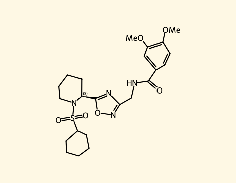 COc1ccc(C(=O)NCc2noc([C@@H]3CCCCN3S(=O)(=O)C3CCCCC3)n2)cc1OC